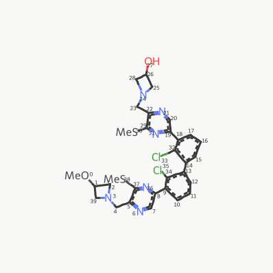 COC1CN(Cc2ncc(-c3cccc(-c4cccc(-c5cnc(CN6CC(O)C6)c(SC)n5)c4Cl)c3Cl)nc2SC)C1